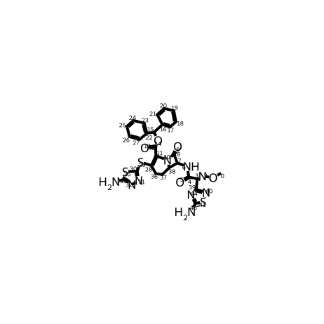 CON=C(C(=O)NC1C(=O)N2C(C(=O)OC(c3ccccc3)c3ccccc3)=C(Sc3nnc(N)s3)CCC12)c1nsc(N)n1